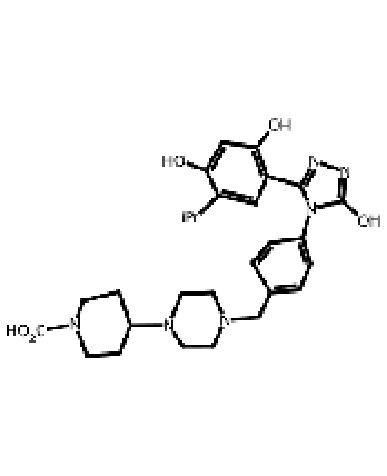 CC(C)c1cc(-c2nnc(O)n2-c2ccc(CN3CCN(C4CCN(C(=O)O)CC4)CC3)cc2)c(O)cc1O